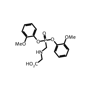 COc1ccccc1OP(=O)(CNCC(=O)O)Oc1ccccc1OC